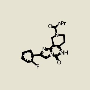 CCCC(=O)N1CCc2[nH]c(=O)n3cc(-c4ccccc4F)nc3c2C1